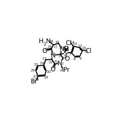 CC(C)N1CC2(S(=O)(=O)c3ccc(Cl)cc3Cl)NCC(N)C(=O)N2C(Cc2ccc(Br)cc2)C1=O